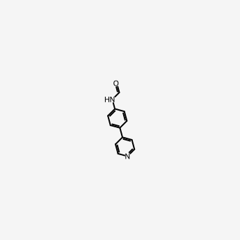 O=CNc1ccc(-c2ccncc2)cc1